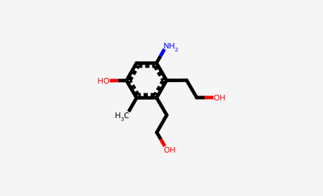 Cc1c(O)cc(N)c(CCO)c1CCO